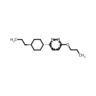 CCCOc1ccc([C@H]2CC[C@H](CCC)CC2)nn1